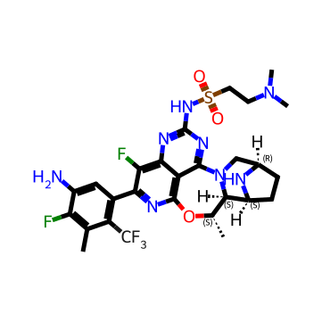 Cc1c(F)c(N)cc(-c2nc3c4c(nc(NS(=O)(=O)CCN(C)C)nc4c2F)N2C[C@H]4CC[C@H](N4)[C@H]2[C@H](C)O3)c1C(F)(F)F